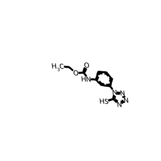 CCOC(=O)Nc1cccc(-n2nnnc2S)c1